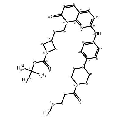 CSCCC(=O)N1CCN(c2ccc(Nc3ncc4ccc(=O)n(CCC5CN(C(=O)OC(C)(C)C)C5)c4n3)cc2)CC1